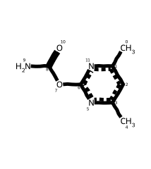 Cc1cc(C)nc(OC(N)=O)n1